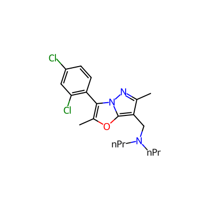 CCCN(CCC)Cc1c(C)nn2c(-c3ccc(Cl)cc3Cl)c(C)oc12